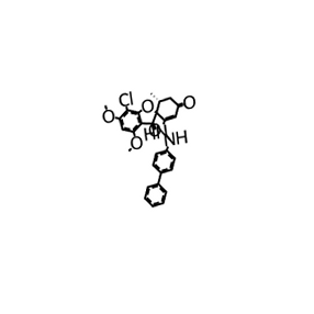 COc1cc(OC)c2c(c1Cl)O[C@]1(C2=O)C(NNc2ccc(-c3ccccc3)cc2)=CC(=O)C[C@H]1C